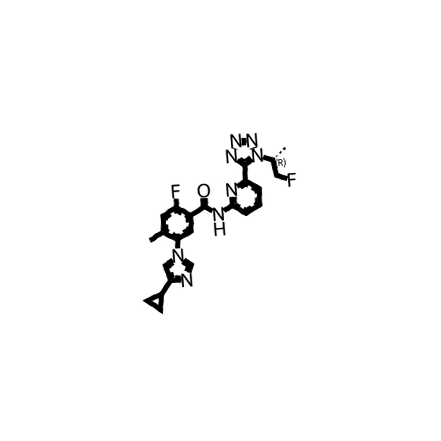 Cc1cc(F)c(C(=O)Nc2cccc(-c3nnnn3[C@H](C)CF)n2)cc1-n1cnc(C2CC2)c1